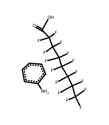 Nc1ccccc1.O=C(O)C(F)(F)C(F)(F)C(F)(F)C(F)(F)C(F)(F)C(F)(F)C(F)(F)F